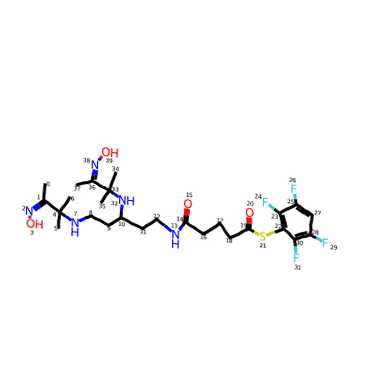 C/C(=N/O)C(C)(C)NCCC(CCNC(=O)CCCC(=O)Sc1c(F)c(F)cc(F)c1F)NC(C)(C)/C(C)=N\O